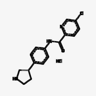 Cl.O=C(Nc1ccc(C2CCNC2)cc1)c1ccc(Cl)cn1